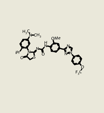 COc1cc(-c2ncn(-c3ccc(OC(F)(F)F)cc3)n2)ccc1NC(=O)/N=C1\SCC(=O)N1c1cc(N(C)C)ccc1C(C)C